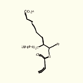 [CH2]C(C)C(OC(=O)C=C)C(CCCCC(=O)O)C(=O)O.[LiH]